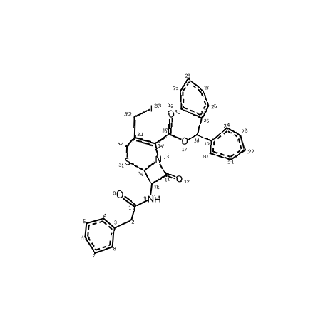 O=C(Cc1ccccc1)NC1C(=O)N2C(C(=O)OC(c3ccccc3)c3ccccc3)=C(CI)CSC12